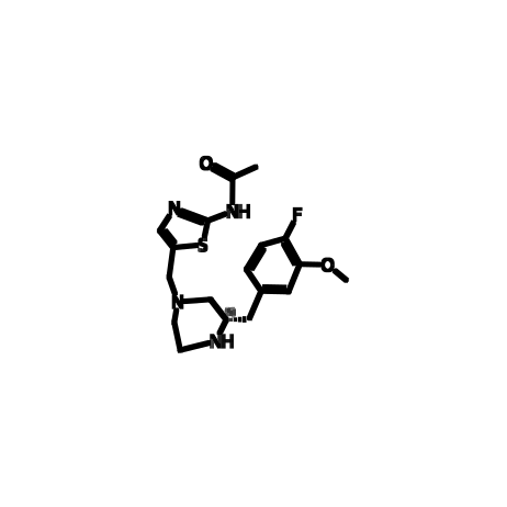 COc1cc(C[C@H]2CN(Cc3cnc(NC(C)=O)s3)CCN2)ccc1F